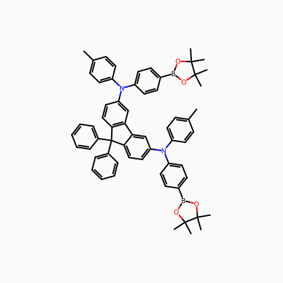 Cc1ccc(N(c2ccc(B3OC(C)(C)C(C)(C)O3)cc2)c2ccc3c(c2)-c2cc(N(c4ccc(C)cc4)c4ccc(B5OC(C)(C)C(C)(C)O5)cc4)ccc2C3(c2ccccc2)c2ccccc2)cc1